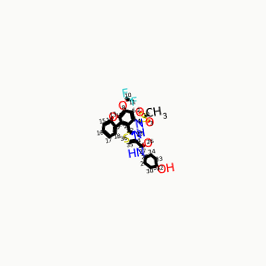 CS(=O)(=O)Nc1cc(OC(F)F)c2oc3ccccc3c2c1-c1nc(C(=O)NC2CCC(O)CC2)cs1